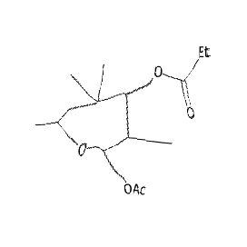 CCC(=O)OC1C(C)C(OC(C)=O)OC(C)C1(C)C